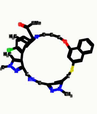 COC(=O)c1c(C)c2c3c(Cl)ccc2n1CCCOc1cc(cc2ccccc12)SCc1cc(nn1C)CNCc1nn(C)c(C)c1-3